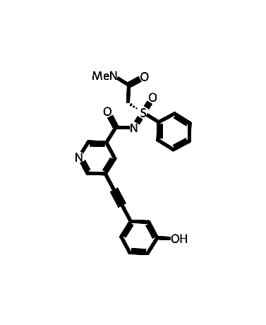 CNC(=O)C[S@@](=O)(=NC(=O)c1cncc(C#Cc2cccc(O)c2)c1)c1ccccc1